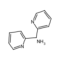 N.c1ccc(Cc2ccccn2)nc1